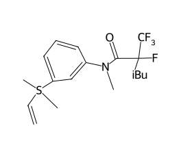 C=CS(C)(C)c1cccc(N(C)C(=O)C(F)(C(C)CC)C(F)(F)F)c1